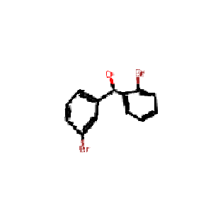 [O]C(c1cccc(Br)c1)c1ccccc1Br